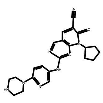 N#Cc1cc2cnc(Nc3ccc(N4CCNCC4)nc3)nc2n(C2CCCC2)c1=O